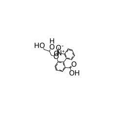 O=C(O)c1cccc(OCC(O)CO)c1-c1ccccc1[N+](=O)[O-]